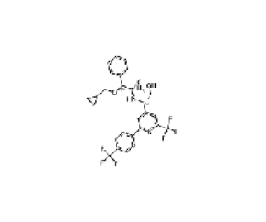 CC(N[C@H](CO)c1cc(-c2ccc(C(F)(F)F)cc2)nc(C(F)(F)F)c1)[C@@H](OCC1CC1)c1ccccc1